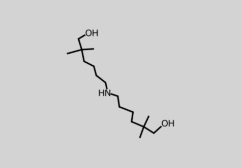 CC(C)(CO)CCCCNCCCCC(C)(C)CO